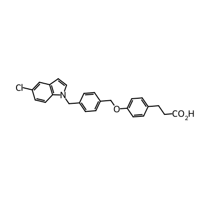 O=C(O)CCc1ccc(OCc2ccc(Cn3ccc4cc(Cl)ccc43)cc2)cc1